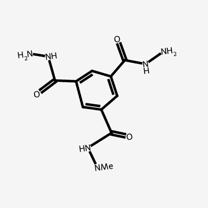 CNNC(=O)c1cc(C(=O)NN)cc(C(=O)NN)c1